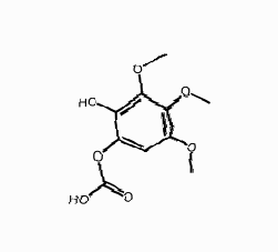 COc1cc(OC(=O)O)c(O)c(OC)c1OC